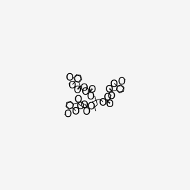 CCCC(COC(=O)OOC(=O)c1cccc(OC)c1OC)(COC(=O)OOC(=O)c1cccc(OC)c1OC)COC(=O)OOC(=O)c1cccc(OC)c1OC